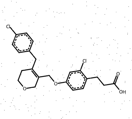 O=C(O)CCc1ccc(OCC2=C(Cc3ccc(Cl)cc3)CCOC2)cc1Cl